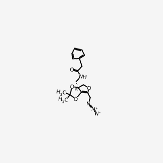 CC1(C)OC2=C(CN=[N+]=[N-])OC[C@]2(CNC(=O)Cc2ccccc2)O1